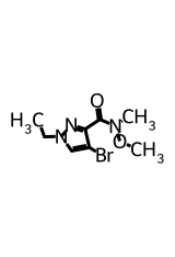 CCn1cc(Br)c(C(=O)N(C)OC)n1